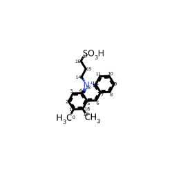 Cc1ccc2c(cc3ccccc3[n+]2CCCS(=O)(=O)O)c1C